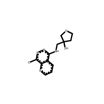 OC1(CNc2nnc(Cl)c3ncccc23)CCOC1